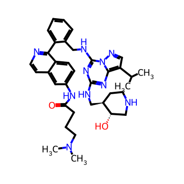 CC(C)c1cnn2c(NCc3ccccc3-c3nccc4cc(NC(=O)CCCN(C)C)ccc34)nc(NC[C@H]3CCNC[C@@H]3O)nc12